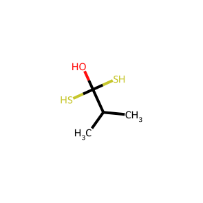 CC(C)C(O)(S)S